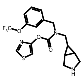 O=C(Oc1cscn1)N(Cc1cccc(OC(F)(F)F)c1)CC1C2CNCC21